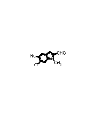 Cn1c(C=O)cc2cc(C#N)c(Cl)cc21